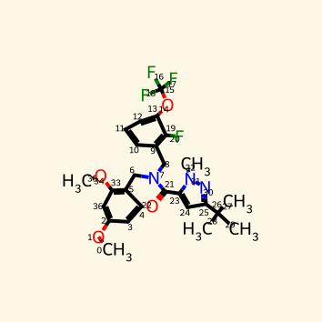 COc1ccc(CN(Cc2cccc(OC(F)(F)F)c2F)C(=O)c2cc(C(C)(C)C)nn2C)c(OC)c1